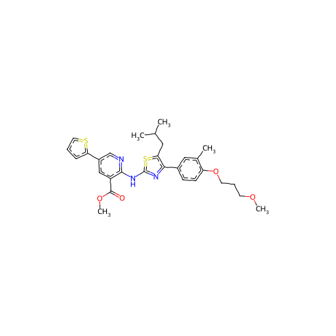 COCCCOc1ccc(-c2nc(Nc3ncc(-c4cccs4)cc3C(=O)OC)sc2CC(C)C)cc1C